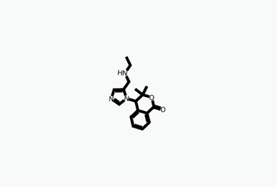 CCNCc1cncn1C1c2ccccc2C(=O)OC1(C)C